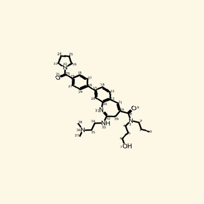 CCCN(CCCO)C(=O)C1=Cc2ccc(-c3ccc(C(=O)N4CCCC4)cc3)cc2N=C(NCCN(C)C)C1